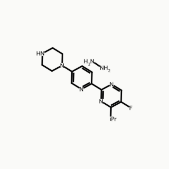 CC(C)c1nc(-c2ccc(N3CCNCC3)cn2)ncc1F.NN